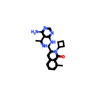 CC(=N)c1c(N)ncnc1NCc1cc2cccc(C)c2c(=O)n1C1CCC1